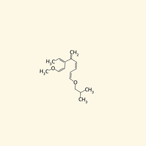 C=C(/C=C\C=C/OCC(C)C)C(/C=C\OC)=C/C